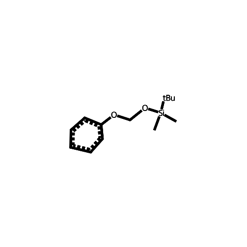 CC(C)(C)[Si](C)(C)OCOc1ccccc1